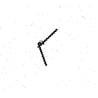 CCCCCCCCCCCCCCCCC(C)c1ccc(O)c(C(C)CCCCCCCCCCCCCCCC)c1